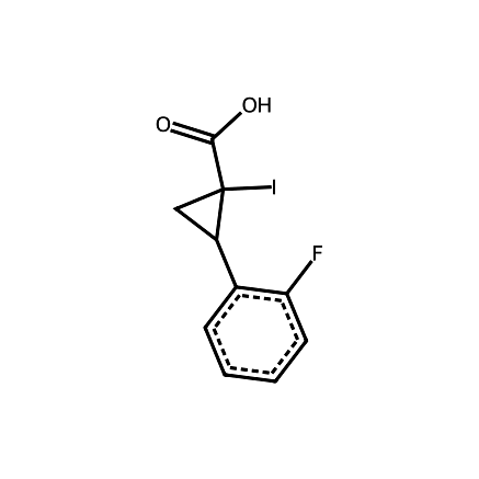 O=C(O)C1(I)CC1c1ccccc1F